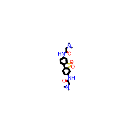 CN(C)CC(=O)Nc1ccc2c(c1)S(=O)(=O)c1cc(NC(=O)CN(C)C)ccc1-2